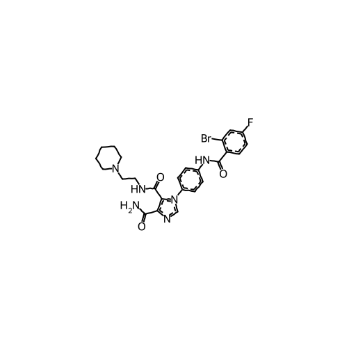 NC(=O)c1ncn(-c2ccc(NC(=O)c3ccc(F)cc3Br)cc2)c1C(=O)NCCN1CCCCC1